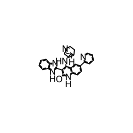 O=c1[nH]c2ccc(-c3ccccn3)cc2c(N[C@@H]2CN3CCC2CC3)c1-c1nc2ccccc2[nH]1